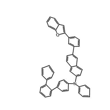 c1ccc(-c2ccccc2-c2ccc(N(c3ccccc3)c3ccc4cc(-c5cccc(-c6cc7ccccc7o6)c5)ccc4c3)cc2)cc1